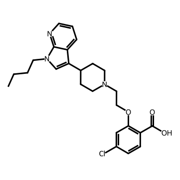 CCCCn1cc(C2CCN(CCOc3cc(Cl)ccc3C(=O)O)CC2)c2cccnc21